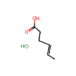 CC=CCCC(=O)O.Cl